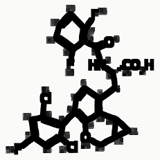 O=C(N[C@@H](Cc1ccc(-c2c(Cl)cc(F)cc2Cl)c2c1C1CC1CO2)C(=O)O)c1c(F)cccc1F